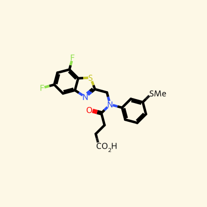 CSc1cccc(N(Cc2nc3cc(F)cc(F)c3s2)C(=O)CCC(=O)O)c1